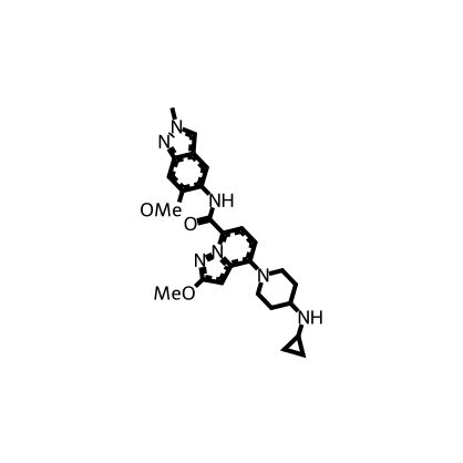 COc1cc2c(N3CCC(NC4CC4)CC3)ccc(C(=O)Nc3cc4cn(C)nc4cc3OC)n2n1